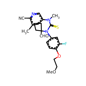 COCCOc1ccc(N(C(=S)N(C)c2cnc(C#N)c(C)c2)C2(C=O)CCC2)cc1F